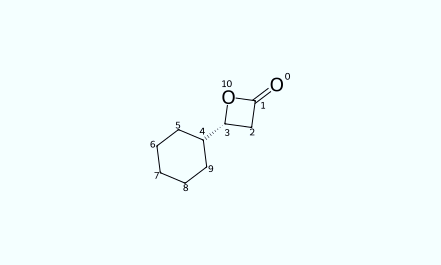 O=C1C[C@H](C2CCCCC2)O1